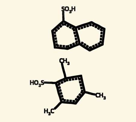 Cc1cc(C)c(S(=O)(=O)O)c(C)c1.O=S(=O)(O)c1cccc2ccccc12